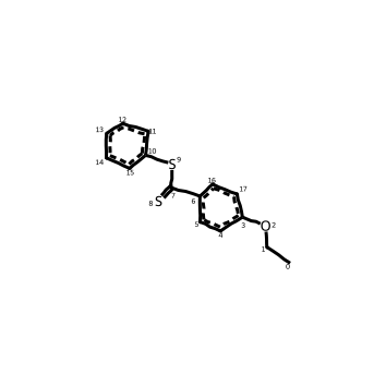 CCOc1ccc(C(=S)Sc2ccccc2)cc1